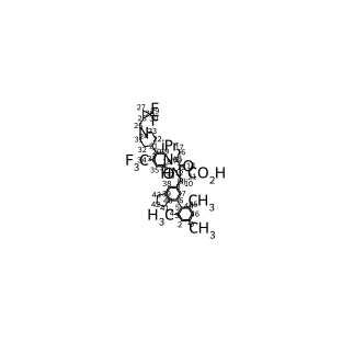 Cc1cc(C)c(-c2cc([C@@H](CC(=O)O)NC(=O)[C@H](CC(C)C)n3cc(C4CCN(CC5CC5(F)F)CC4)c(C(F)(F)F)cc3=O)cc3c2CCC3)c(C)c1